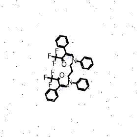 O=C(/C(=C\N(CCCN(/C=C(\C(=O)C(F)(F)F)c1ccccc1)c1ccccc1)c1ccccc1)c1ccccc1)C(F)(F)F